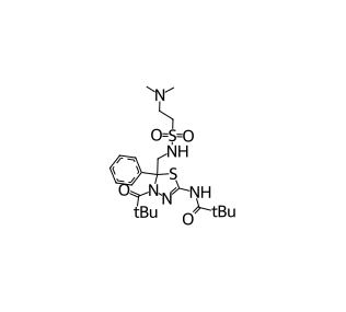 CN(C)CCS(=O)(=O)NCC1(c2ccccc2)SC(NC(=O)C(C)(C)C)=NN1C(=O)C(C)(C)C